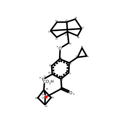 O=C(c1cc(C2CC2)c(OCC23CC4CC2CC4C3)cc1F)N1CC2CC1(C(=O)O)C2